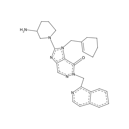 NC1CCCN(c2nc3cnn(Cc4nccc5ccccc45)c(=O)c3n2CC2=CCCCC2)C1